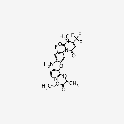 CCOC(=O)C(C)Oc1ncccc1Oc1cc(-n2c(=O)cc(C(F)(F)F)n(C)c2=O)c(F)cc1N